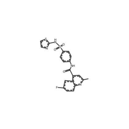 Cc1cc(C(=O)Nc2ccc(S(=O)(=O)Nc3nccs3)cc2)c2cc(F)ccc2n1